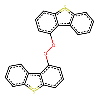 c1ccc2c(c1)sc1cccc(OOc3cccc4sc5ccccc5c34)c12